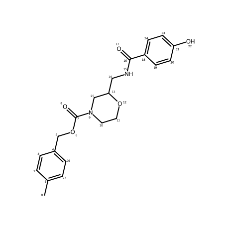 Cc1ccc(COC(=O)N2CCOC(CNC(=O)c3ccc(O)cc3)C2)cc1